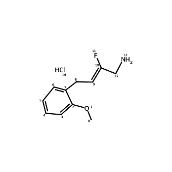 COc1ccccc1CC=C(F)CN.Cl